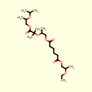 CCOC(C)COC(=O)CCCCC(=O)OCC(C)OC(C)(C)C(=O)OCC(C)OC(C)C